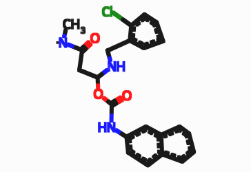 C[N]C(=O)CC(NCc1ccccc1Cl)OC(=O)Nc1ccc2ccccc2c1